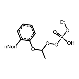 CCCCCCCCCc1ccccc1OC(C)OOP(=O)(O)OCC